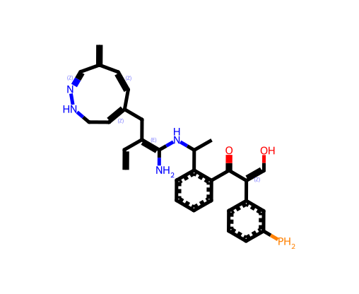 C=C/C(CC1=C/CN/N=C\C(=C)/C=C\1)=C(\N)NC(C)c1ccccc1C(=O)/C(=C\O)c1cccc(P)c1